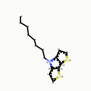 CCCCCCCCn1c2ccsc2c2sccc21